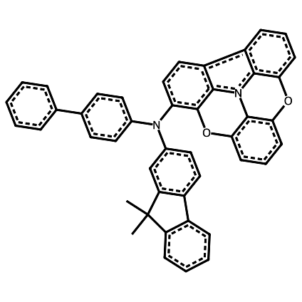 CC1(C)c2ccccc2-c2ccc(N(c3ccc(-c4ccccc4)cc3)c3ccc4c5cccc6c5n5c4c3Oc3cccc(c3-5)O6)cc21